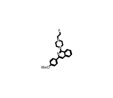 COc1ccc(-c2cc3ccccc3c(N3CCN(CCF)CC3)n2)cc1